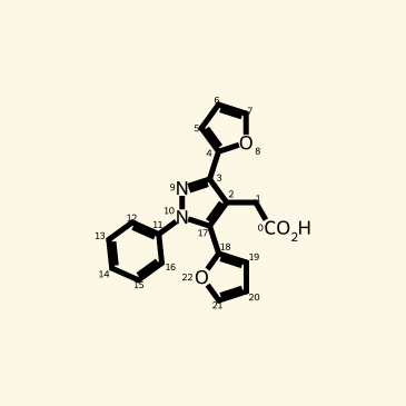 O=C(O)Cc1c(-c2ccco2)nn(-c2ccccc2)c1-c1ccco1